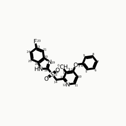 Cc1c(Oc2ccccc2)ccnc1CS(=O)(=O)c1nc2cc(F)ccc2[nH]1